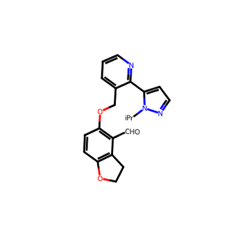 CC(C)n1nccc1-c1ncccc1COc1ccc2c(c1C=O)CCO2